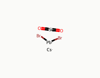 O=[Si]=O.[Br][Pb][Br].[Cs]